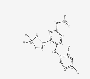 C[SiH](C)Oc1ccc(Oc2ccc(F)cc2F)c(B2OCC(C)(C)O2)c1